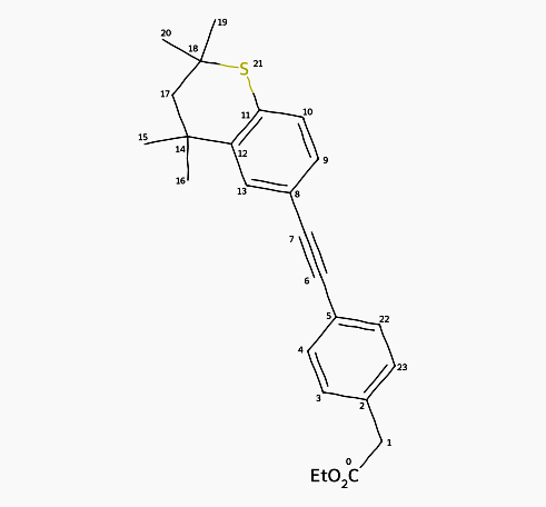 CCOC(=O)Cc1ccc(C#Cc2ccc3c(c2)C(C)(C)CC(C)(C)S3)cc1